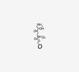 NCC(O)C(=O)CCNC(=O)OCc1ccccc1.[Zn]